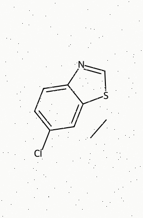 CC.Clc1ccc2ncsc2c1